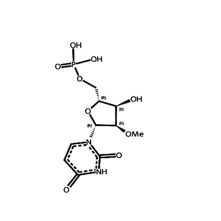 CO[C@@H]1[C@H](O)[C@@H](COP(=O)(O)O)O[C@H]1n1ccc(=O)[nH]c1=O